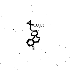 CCOC(=O)C1(CN2CCC3(CCc4c(Br)cccc43)C2)CC1